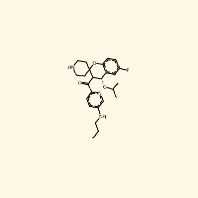 CCCNc1ccc(C(=O)C2[C@@H](OC(C)C)c3cc(F)ccc3OC23CCNCC3)nc1